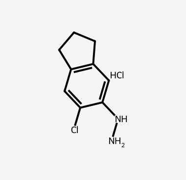 Cl.NNc1cc2c(cc1Cl)CCC2